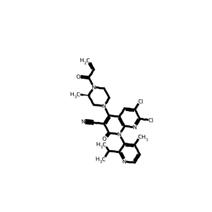 C=CC(=O)N1CCN(c2c(C#N)c(=O)n(-c3c(C)ccnc3C(C)C)c3nc(Cl)c(Cl)cc23)C[C@H]1C